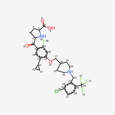 O=C(O)C1CCC(C(=O)c2cc(C3CC3)c(OCC3CCN(Cc4cc(Cl)ccc4C(F)(F)F)CC3)cc2F)N1